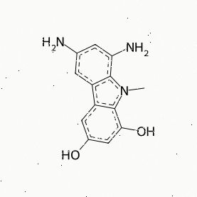 Cn1c2c(N)cc(N)cc2c2cc(O)cc(O)c21